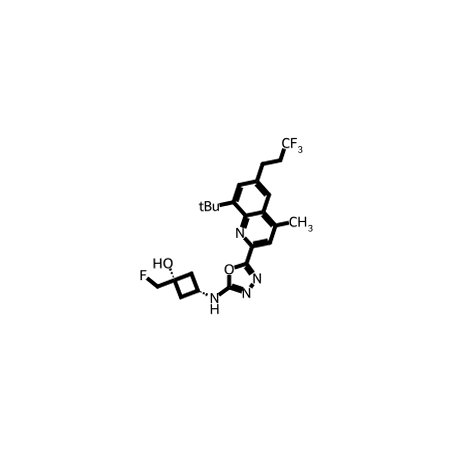 Cc1cc(-c2nnc(N[C@H]3C[C@](O)(CF)C3)o2)nc2c(C(C)(C)C)cc(CCC(F)(F)F)cc12